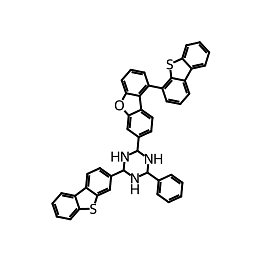 c1ccc(C2NC(c3ccc4c(c3)oc3cccc(-c5cccc6c5sc5ccccc56)c34)NC(c3ccc4c(c3)sc3ccccc34)N2)cc1